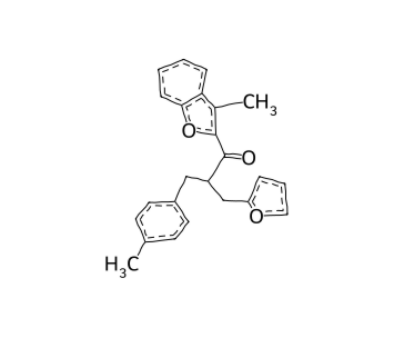 Cc1ccc(CC(Cc2ccco2)C(=O)c2oc3ccccc3c2C)cc1